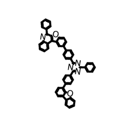 c1ccc(-c2nc(-c3ccc(-c4ccc5oc6c(-c7ccccc7)nc7ccccc7c6c5c4)cc3)nc(-c3ccc(-c4cccc5c4oc4ccccc45)cc3)n2)cc1